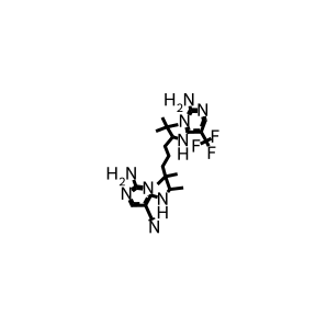 CC(Nc1nc(N)ncc1C#N)C(C)(C)CCCC(Nc1nc(N)ncc1C(F)(F)F)C(C)(C)C